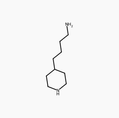 NCCCCC1CCNCC1